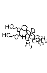 CCC(C(=O)OC12CCCC(OCCO)(CC(OCCO)CC(C)C1)C2)C(C)(C)C